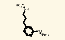 CCCCCNc1cccc(CCCNC(=O)O)c1